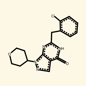 O=c1[nH]c(Cc2ccccc2Cl)nc2c1cnn2C1CCOCC1